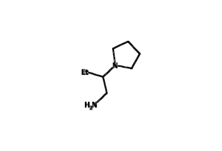 CCC(CN)N1CCCC1